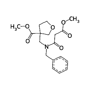 COC(=O)CC(=O)N(Cc1ccccc1)CC1(C(=O)OC)CCOC1